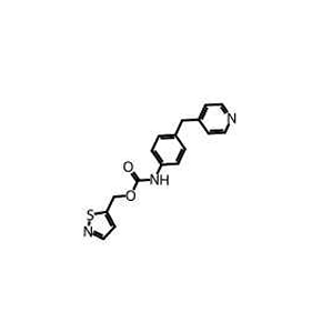 O=C(Nc1ccc(Cc2ccncc2)cc1)OCc1ccns1